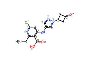 CCc1nc(Cl)cc(Nc2cnn(C3CC(=O)C3)c2)c1C(=O)O